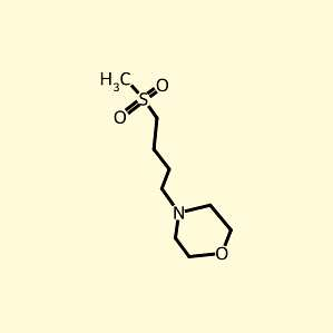 CS(=O)(=O)CCCCN1CCOCC1